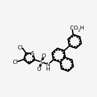 O=C(O)c1cccc(-c2ccc(NS(=O)(=O)c3cc(Cl)c(Cl)s3)c3ccccc23)c1